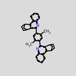 Cc1cc(-c2nc3ccccc3c3c2C2CCC3C2)c(C)cc1-c1nc2ccccc2c2c1C1CCC2C1